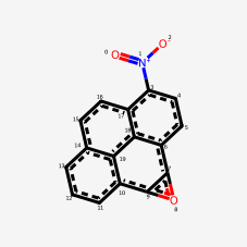 O=[N+]([O-])c1ccc2c3oc3c3cccc4ccc1c2c43